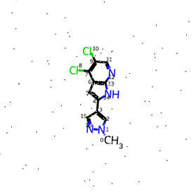 Cn1cc(-c2cc3c(Cl)c(Cl)cnc3[nH]2)cn1